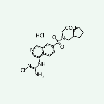 Cl.NC(=NCl)Nc1cncc2cc(S(=O)(=O)N(CC(=O)O)CC3CCCC3)ccc12